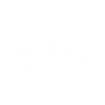 Cc1ncnn1-c1cc(F)ccc1CNC(=O)c1cc(=O)n2c(n1)C1(CCC(O)C1)COCC2